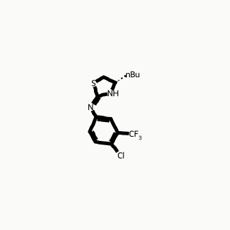 CCCC[C@H]1CSC(=Nc2ccc(Cl)c(C(F)(F)F)c2)N1